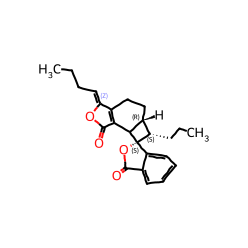 CCC/C=C1\OC(=O)C2=C1CC[C@H]1C2[C@@]2(OC(=O)c3ccccc32)[C@H]1CCC